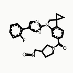 O=NCC1CCN(C(=O)c2ccc3c(c2)N(c2ncc(-c4ccccc4F)cn2)CC32CC2)C1